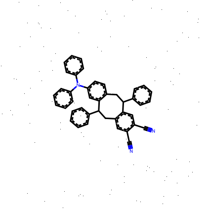 N#Cc1cc2c(cc1C#N)C(c1ccccc1)Cc1ccc(N(c3ccccc3)c3ccccc3)cc1C(c1ccccc1)C2